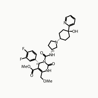 COCC1=C(C(=O)OC)[C@H](c2ccc(F)c(F)c2)N(C(=O)N[C@@H]2CCN([C@H]3CC[C@@](O)(c4ccccn4)CC3)C2)C(=O)N1